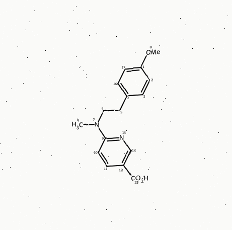 COc1ccc(CCN(C)c2ccc(C(=O)O)cn2)cc1